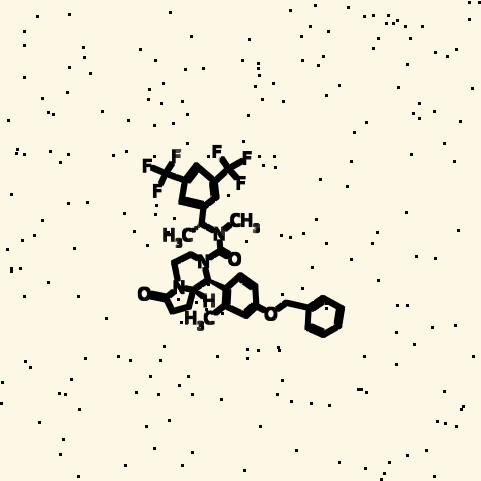 Cc1cc(OCc2ccccc2)ccc1[C@H]1[C@@H]2CCC(=O)N2CCN1C(=O)N(C)[C@H](C)c1cc(C(F)(F)F)cc(C(F)(F)F)c1